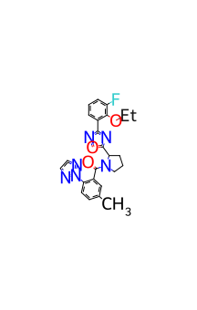 CCOc1c(F)cccc1-c1noc(C2CCCN2C(=O)c2cc(C)ccc2-n2nccn2)n1